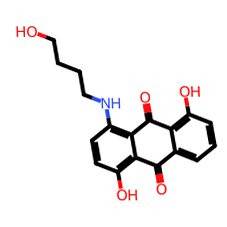 O=C1c2cccc(O)c2C(=O)c2c(NCCCCO)ccc(O)c21